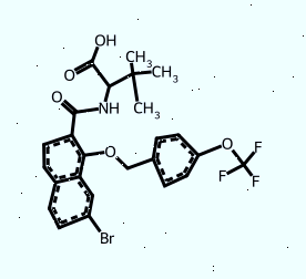 CC(C)(C)C(NC(=O)c1ccc2ccc(Br)cc2c1OCc1ccc(OC(F)(F)F)cc1)C(=O)O